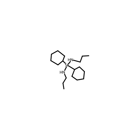 CCCN[Si](NCCC)(C1CCCCC1)C1CCCCC1